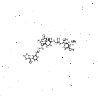 CC(=O)O.[O-][S+](c1cccc(COCCOc2ccc(CCNC[C@H](O)c3ccc(O)c(CO)c3)cc2)c1)C1CCCC1